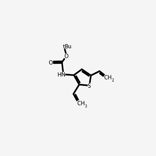 C=Cc1cc(NC(=O)OC(C)(C)C)c(C=C)s1